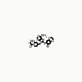 C[C@H](N)C(=O)N1CCC(Cn2c(Sc3cc4c(cc3Br)OCCO4)nc3c(N)ncnc32)CC1